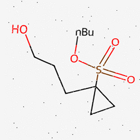 CCCCOS(=O)(=O)C1(CCCO)CC1